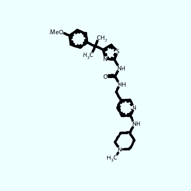 COc1ccc(C(C)(C)c2csc(NC(=O)NCc3ccc(NC4CCN(C)CC4)nc3)n2)cc1